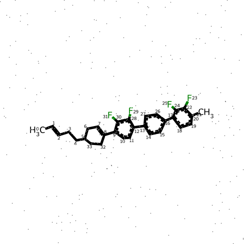 C/C=C/CCC1CC=C(c2ccc(-c3ccc(-c4ccc(C)c(F)c4F)cc3)c(F)c2F)CC1